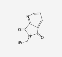 CC(C)CN1C(=O)c2cccnc2C1=O